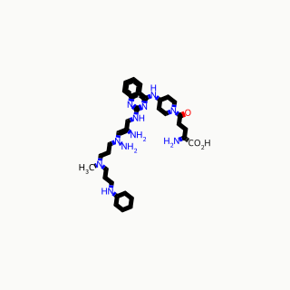 CN(CCCNC1CCCCC1)CCCN(N)/C=C(\N)CNc1nc(NC2CCN(C(=O)CCC(N)C(=O)O)CC2)c2ccccc2n1